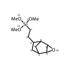 CO[Si](CCC1CC2CC1C1OC21)(OC)OC